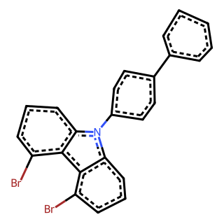 Brc1cccc2c1c1c(Br)cccc1n2-c1ccc(-c2ccccc2)cc1